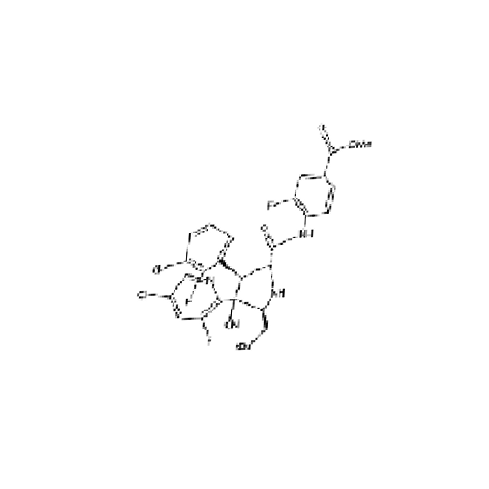 COC(=O)c1ccc(NC(=O)[C@@H]2N[C@@H](CC(C)(C)C)[C@](C#N)(c3ncc(Cl)cc3F)[C@H]2c2cccc(Cl)c2F)c(F)c1